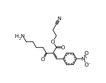 N#CCCOC(=O)C(=Cc1ccc([N+](=O)[O-])cc1)C(=O)CCCCN